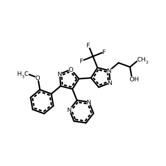 COc1ccccc1-c1noc(-c2cnn(CC(C)O)c2C(F)(F)F)c1-c1ncccn1